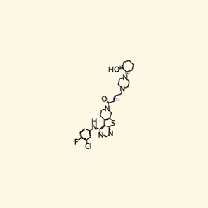 O=C(/C=C/CN1CCN([C@H]2CCCC[C@@H]2O)CC1)N1CCc2c(sc3ncnc(Nc4ccc(F)c(Cl)c4)c23)C1